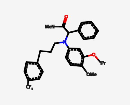 CNC(=O)C(c1ccccc1)N(CCCc1ccc(C(F)(F)F)cc1)c1ccc(OC)c(OC(C)C)c1